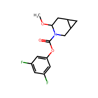 COC1CC2CC2CN1C(=O)Oc1cc(F)cc(F)c1